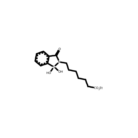 CCOC(=O)CCCCCCN1C(=O)c2ccccc2S1(O)O